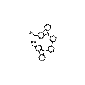 CC(C)(C)Cc1ccc2c(c1)c1ccccc1n2-c1cccc(-c2cccc(-n3c4ccccc4c4cc(CC(C)(C)C)ccc43)c2)c1